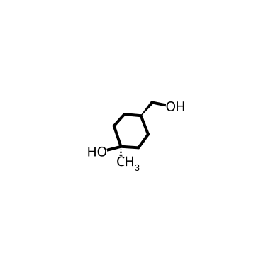 C[C@]1(O)CC[C@@H](CO)CC1